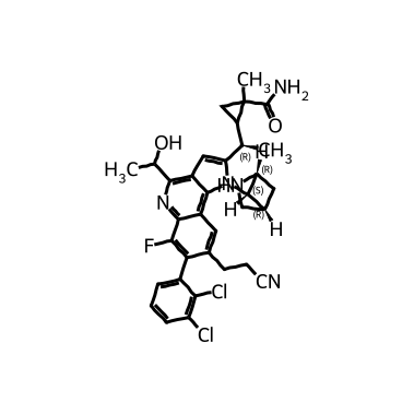 CC(O)c1nc2c(F)c(-c3cccc(Cl)c3Cl)c(CCC#N)cc2c2c1cc([C@H](C)C1CC1(C)C(N)=O)n2[C@H]1[C@H]2CN[C@@H]1C2